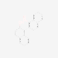 Oc1ccc2ccccc2c1-c1ccc2ccccc2c1O